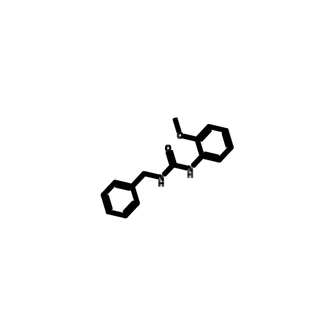 COc1ccccc1NC(=O)NCc1ccccc1